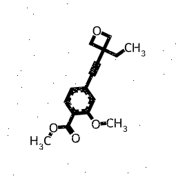 CCC1(C#Cc2ccc(C(=O)OC)c(OC)c2)COC1